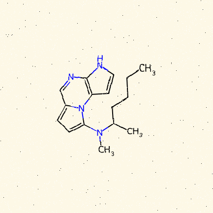 CCCCC(C)N(C)c1ccc2cnc3[nH]ccc3n12